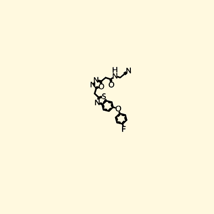 N#CCNC(=O)Cc1nnc(Cc2nc3ccc(Oc4ccc(F)cc4)cc3s2)o1